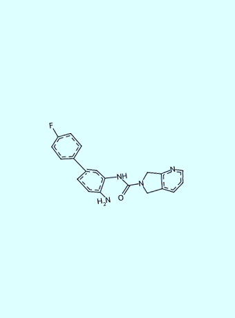 Nc1ccc(-c2ccc(F)cc2)cc1NC(=O)N1Cc2cccnc2C1